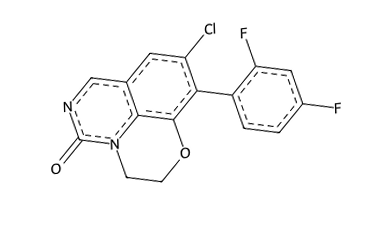 O=c1ncc2cc(Cl)c(-c3ccc(F)cc3F)c3c2n1CCO3